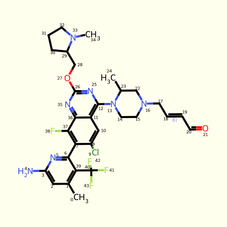 Cc1cc(N)nc(-c2c(Cl)cc3c(N4CCN(C/C=C/C=O)CC4C)nc(OCC4CCCN4C)nc3c2F)c1C(F)(F)F